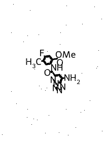 COC(=O)c1cc(F)c(C)cc1NC(=O)c1cc(N)c2nnnn2n1